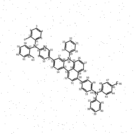 Cc1ccccc1N(c1ccc(-c2ccc3c(c2)N(c2ccccc2)c2cccc4c(-c5ccc(N(c6ccccc6)c6ccc(F)cc6)cc5)ccc-3c24)cn1)c1ccccc1C